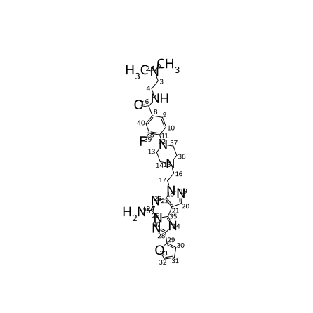 CN(C)CCNC(=O)c1ccc(N2CCN(CCn3ncc4c3nc(N)n3nc(-c5ccco5)nc43)CC2)c(F)c1